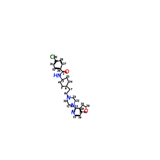 O=C(NC1CCC(CCN2CCN(c3nccc4c3CCO4)CC2)CC1)c1ccc(Cl)cc1